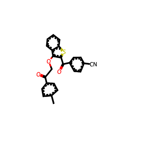 Cc1ccc(C(=O)COc2c(C(=O)c3ccc(C#N)cc3)sc3ccccc23)cc1